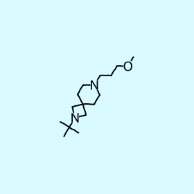 COCCCN1CCC2(CC1)CN(C(C)(C)C)C2